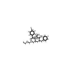 CCOCOC[C@H](C[C@H](Cc1ccccc1)C(=O)NO)NC(=O)c1ccc(C)cc1